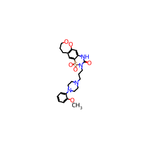 COc1ccccc1N1CCN(CCCN2C(=O)Nc3cc4c(cc3S2(=O)=O)CCCOO4)CC1